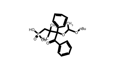 CCCCOC(C)OC(C(=O)c1ccccc1)(c1ccccc1)C(C)(C)CP(=O)(O)O